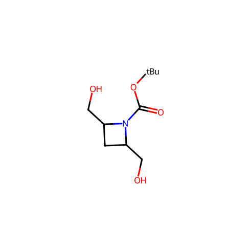 CC(C)(C)OC(=O)N1C(CO)CC1CO